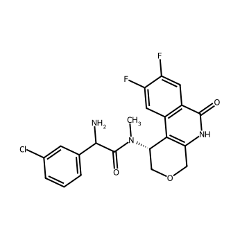 CN(C(=O)C(N)c1cccc(Cl)c1)[C@H]1COCc2[nH]c(=O)c3cc(F)c(F)cc3c21